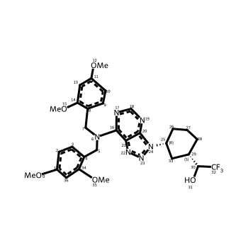 COc1ccc(CN(Cc2ccc(OC)cc2OC)c2ncnc3c2nnn3[C@@H]2CCC[C@H](C(O)C(F)(F)F)C2)c(OC)c1